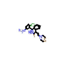 Nc1ccc(Cl)c(C2NC(=S)C(CCN3CCSCC3)c3ccccc32)c1